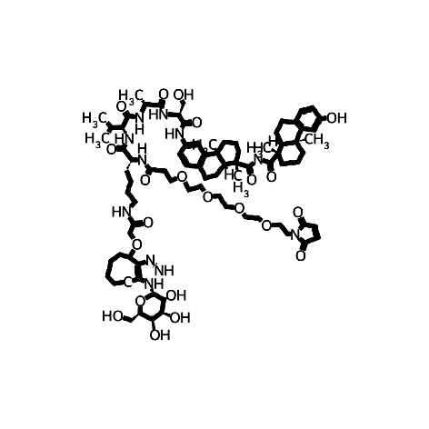 CC(C)[C@H](NC(=O)[C@@H](CCCCNC(=O)COC1CCCCC/C(N[C@@H]2O[C@H](CO)[C@H](O)[C@H](O)[C@H]2O)=C\1N=N)NC(=O)CCOCCOCCOCCOCCN1C(=O)C=CC1=O)C(=O)N[C@@H](C)C(=O)N[C@@H](CO)C(=O)Nc1ccc2c(c1)[C@@]1(C)CCC[C@](C)(C(=O)NC(=O)[C@@]3(C)CCC[C@]4(C)c5cc(O)ccc5CC[C@@H]34)[C@@H]1CC2